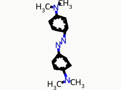 CN(C)c1ccc(/N=N/c2ccc(N(C)C)cc2)cc1